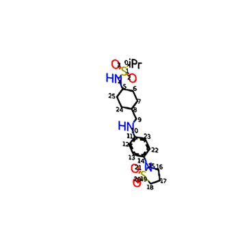 CC(C)S(=O)(=O)NC1CCC(CNc2ccc(N3CCCS3(=O)=O)cc2)CC1